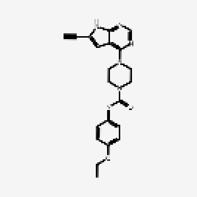 C#Cc1cc2c(N3CCN(C(=O)Nc4ccc(OCC)cc4)CC3)ncnc2[nH]1